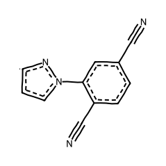 N#Cc1ccc(C#N)c(-n2cc[c]n2)c1